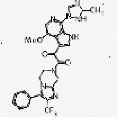 COc1cnc(N2C=NC(C)N2)c2[nH]cc(C(=O)C(=O)N3CCn4c(nc(C(F)(F)F)c4-c4ccccc4)C3)c12